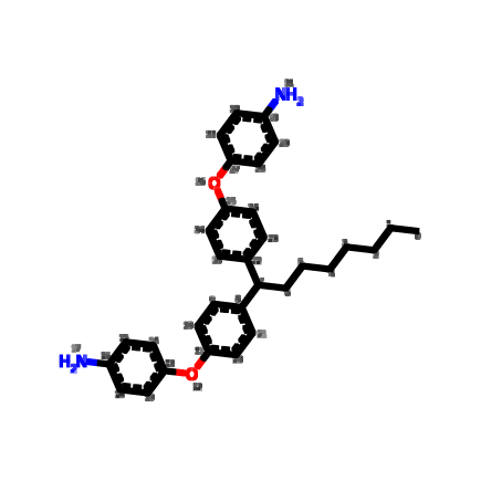 CCCCCCCC(c1ccc(Oc2ccc(N)cc2)cc1)c1ccc(Oc2ccc(N)cc2)cc1